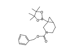 CC1(C)OB(C23CC2CCN(C(=O)OCc2ccccc2)C3)OC1(C)C